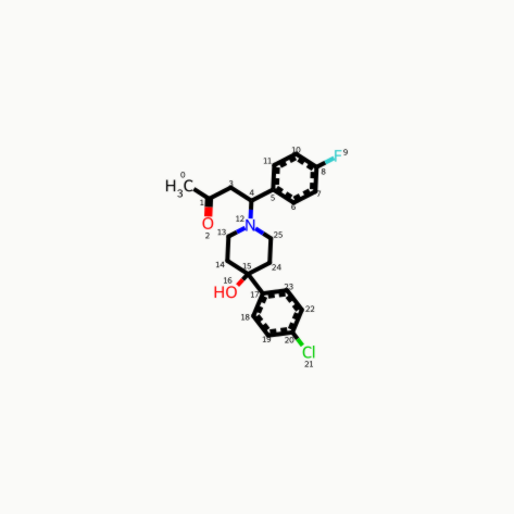 CC(=O)CC(c1ccc(F)cc1)N1CCC(O)(c2ccc(Cl)cc2)CC1